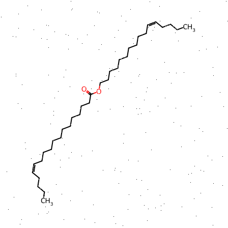 CCCC/C=C\CCCCCCCCCCCC(=O)OCCCCCCCCCC/C=C\CCCC